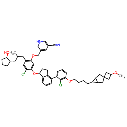 COC1CC2(C1)CC1C(CCCCOc3cccc(-c4cccc5c4CC[C@@H]5Oc4cc(OCC5=CC(C#N)=CNC5)c(CC(C)C[C@@H]5CCC[C@H]5O)cc4Cl)c3Cl)C1C2